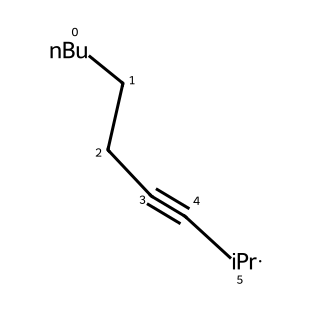 [CH2]CCCCCC#C[C](C)C